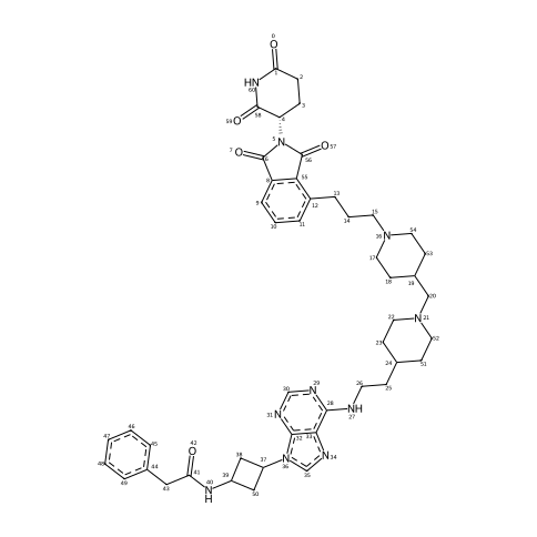 O=C1CC[C@H](N2C(=O)c3cccc(CCCN4CCC(CN5CCC(CCNc6ncnc7c6ncn7C6CC(NC(=O)Cc7ccccc7)C6)CC5)CC4)c3C2=O)C(=O)N1